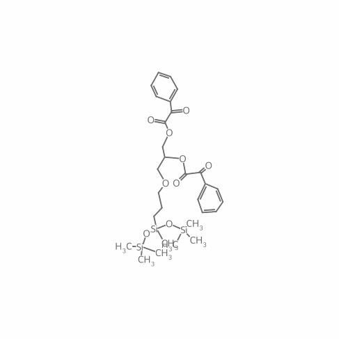 C[Si](C)(C)O[Si](C)(CCCOCC(COC(=O)C(=O)c1ccccc1)OC(=O)C(=O)c1ccccc1)O[Si](C)(C)C